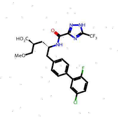 COC[C@H](C[C@@H](Cc1ccc(-c2cc(Cl)ccc2F)cc1)NC(=O)c1n[nH]c(C(F)(F)F)n1)C(=O)O